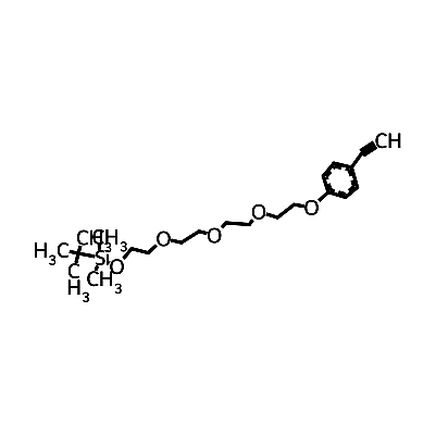 C#Cc1ccc(OCCOCCOCCOCCO[Si](C)(C)C(C)(C)C)cc1